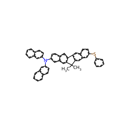 CC1(C)c2cc3cc(Sc4ccccc4)ccc3cc2-c2cc3ccc(N(c4ccc5ccccc5c4)c4ccc5ccccc5c4)cc3cc21